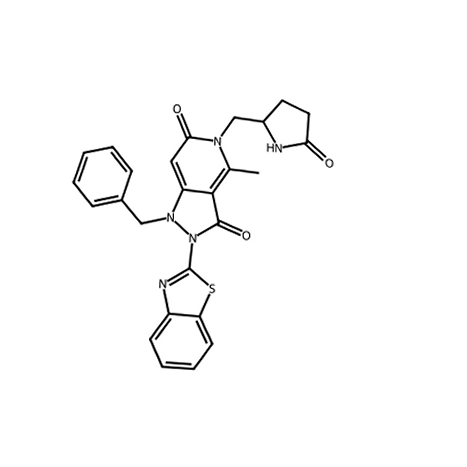 Cc1c2c(=O)n(-c3nc4ccccc4s3)n(Cc3ccccc3)c2cc(=O)n1CC1CCC(=O)N1